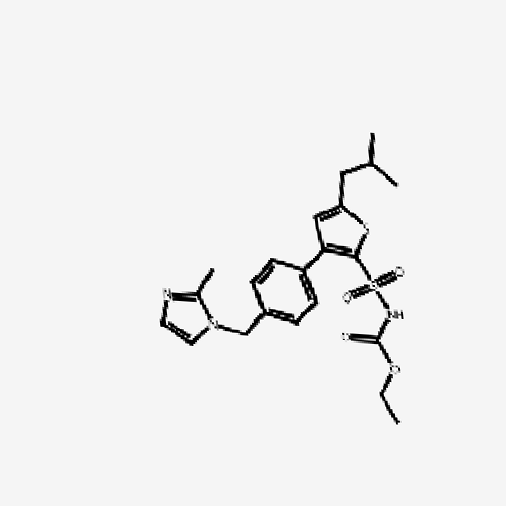 CCOC(=O)NS(=O)(=O)c1sc(CC(C)C)cc1-c1ccc(Cn2ccnc2C)cc1